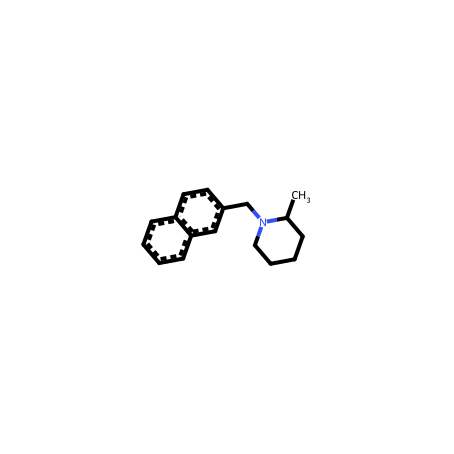 CC1CCCCN1Cc1ccc2ccccc2c1